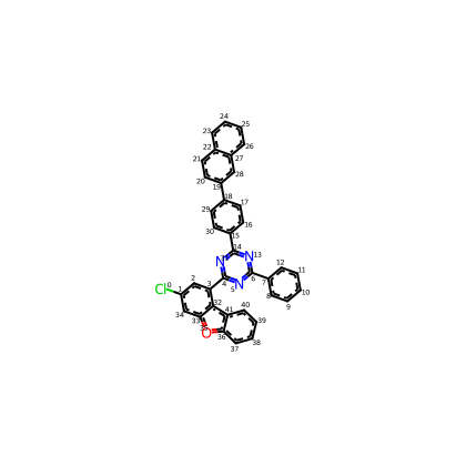 Clc1cc(-c2nc(-c3ccccc3)nc(-c3ccc(-c4ccc5ccccc5c4)cc3)n2)c2c(c1)oc1ccccc12